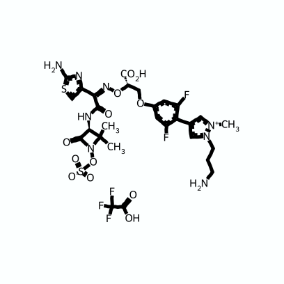 C[n+]1cc(-c2c(F)cc(OC[C@H](O/N=C(\C(=O)N[C@@H]3C(=O)N(OS(=O)(=O)[O-])C3(C)C)c3csc(N)n3)C(=O)O)cc2F)cn1CCCN.O=C(O)C(F)(F)F